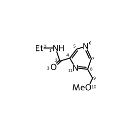 CCNC(=O)c1cncc(COC)n1